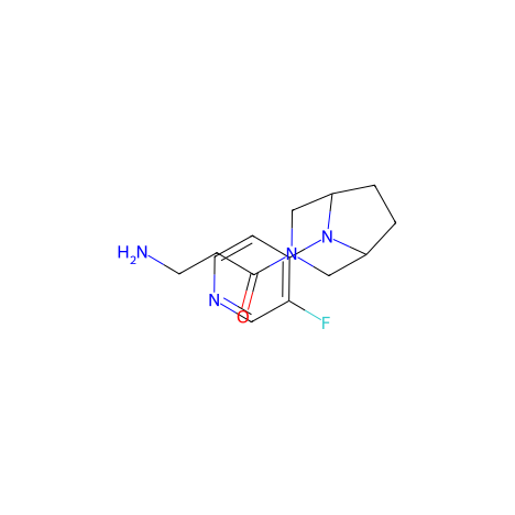 NCCC(=O)N1CC2CCC(C1)N2c1ccncc1F